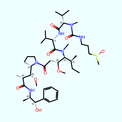 CC[C@H](C)[C@@H]([C@@H](CC(=O)N1CCC[C@H]1[C@H](OC)[C@@H](C)C(=O)N[C@H](C)[C@@H](O)c1ccccc1)OC)N(C)C(=O)[C@@H](NC(=O)[C@H](C(C)C)N(C)C(=O)NCCC[S+](C)[O-])C(C)C